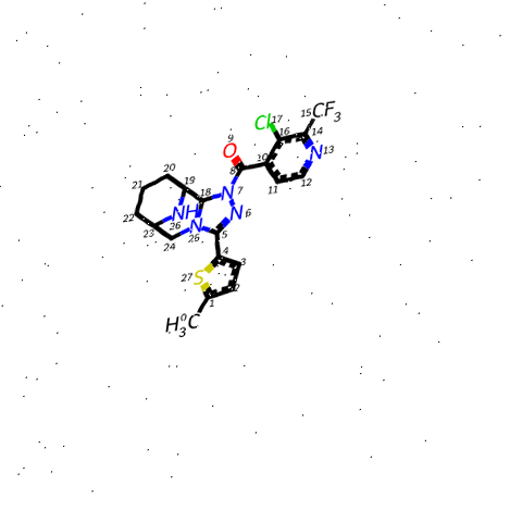 Cc1ccc(C2=NN(C(=O)c3ccnc(C(F)(F)F)c3Cl)C3C4CCCC(CN23)N4)s1